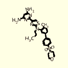 CCCN(c1nc(-c2nc(N)cc(N)n2)cs1)c1cc(-c2ccc(S(=O)(=O)N3CCOCC3)cc2)ccc1C